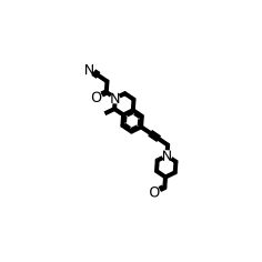 CC1c2ccc(C#CCN3CCC(C=O)CC3)cc2CCN1C(=O)CC#N